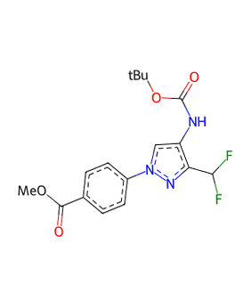 COC(=O)c1ccc(-n2cc(NC(=O)OC(C)(C)C)c(C(F)F)n2)cc1